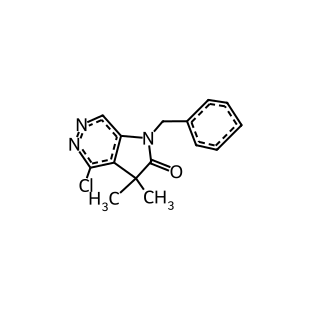 CC1(C)C(=O)N(Cc2ccccc2)c2cnnc(Cl)c21